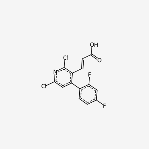 O=C(O)C=Cc1c(-c2ccc(F)cc2F)cc(Cl)nc1Cl